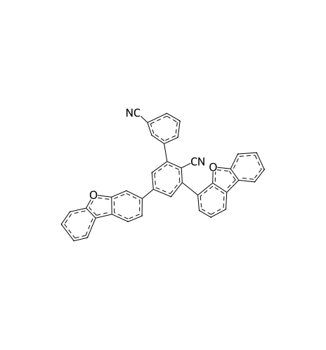 N#Cc1cccc(-c2cc(-c3ccc4c(c3)oc3ccccc34)cc(-c3cccc4c3oc3ccccc34)c2C#N)c1